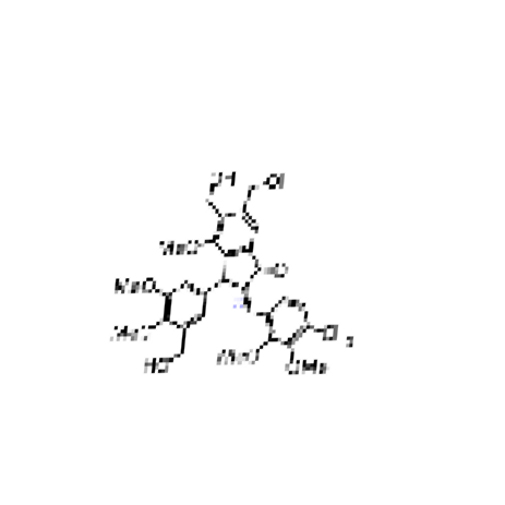 COc1cc(C2/C(=C/c3ccc(C)c(OC)c3OC)C(=O)c3cc(CO)c(CO)c(OC)c32)cc(CO)c1OC